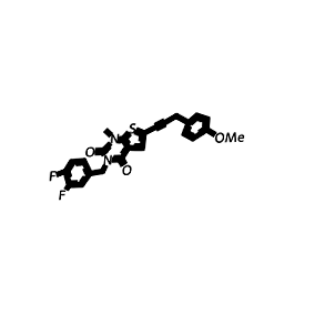 COc1ccc(CC#Cc2cc3c(=O)n(Cc4ccc(F)c(F)c4)c(=O)n(C)c3s2)cc1